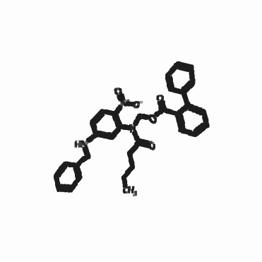 CCCCC(=O)N(COC(=O)c1ccccc1-c1ccccc1)c1cc(NCc2ccccc2)ccc1[N+](=O)[O-]